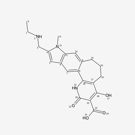 CCNCc1cc2cc3c(cc2n1C)CCCc1c-3[nH]c(=O)c(C(=O)O)c1O